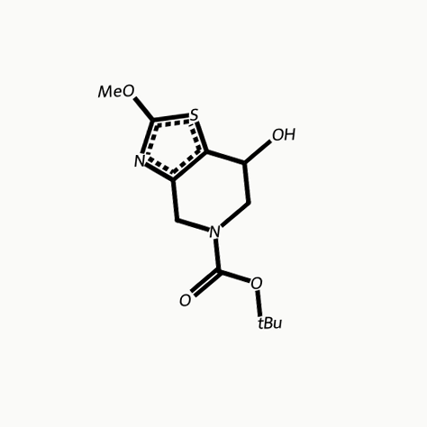 COc1nc2c(s1)C(O)CN(C(=O)OC(C)(C)C)C2